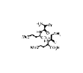 CSCCC(NC(=O)C(N)C(C)C)C(=O)O.CSCCC(NC(=O)CN)C(=O)O